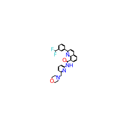 O=C(Nc1cccc(CN2CCOCC2)n1)c1cccc2ccc(-c3cccc(C(F)F)c3)nc12